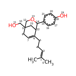 CC(C)=CCCC1=CCC2(CO)COC(c3ccc(O)cc3)C1C2